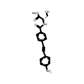 COC(=O)[C@H](CO)NC(=O)c1ccc(C#Cc2ccc([N+](=O)[O-])cc2)cc1